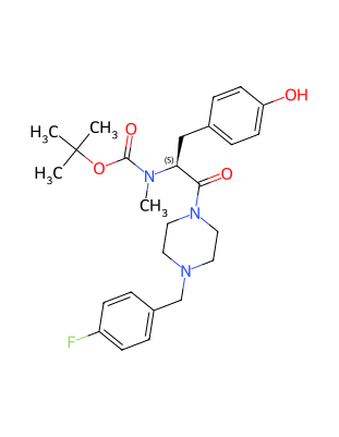 CN(C(=O)OC(C)(C)C)[C@@H](Cc1ccc(O)cc1)C(=O)N1CCN(Cc2ccc(F)cc2)CC1